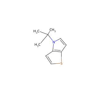 CC(C)(C)n1ccc2sccc21